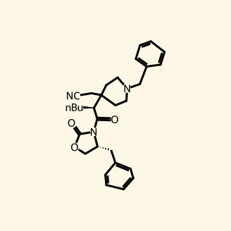 CCCC[C@H](C(=O)N1C(=O)OC[C@H]1Cc1ccccc1)C1(CC#N)CCN(Cc2ccccc2)CC1